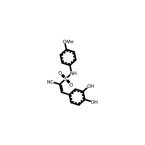 COc1ccc(NS(=O)(=O)/C(C#N)=C\c2ccc(O)c(O)c2)cc1